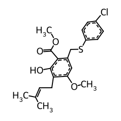 COC(=O)c1c(CSc2ccc(Cl)cc2)cc(OC)c(CC=C(C)C)c1O